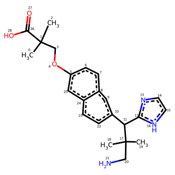 CC(C)(COc1ccc2cc(C(c3ncc[nH]3)C(C)(C)CN)ccc2c1)C(=O)O